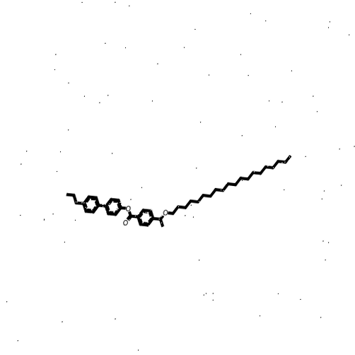 CCCCCCCCCCCCCCCCCCCCOC(C)c1ccc(C(=O)Oc2ccc(-c3ccc(CCC)cc3)cc2)cc1